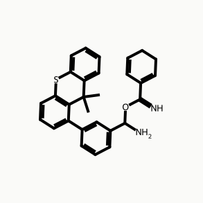 CC1(C)c2ccccc2Sc2cccc(-c3cccc(C(N)OC(=N)C4=CCCC=C4)c3)c21